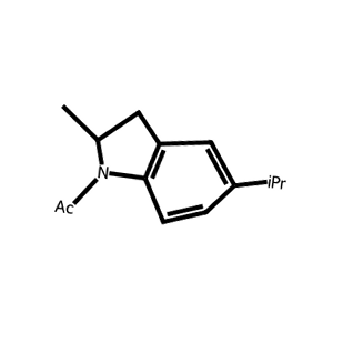 CC(=O)N1c2ccc(C(C)C)cc2CC1C